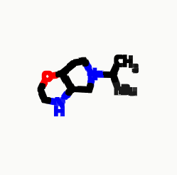 CCCCC(C)N1CCC2OCCNC2C1